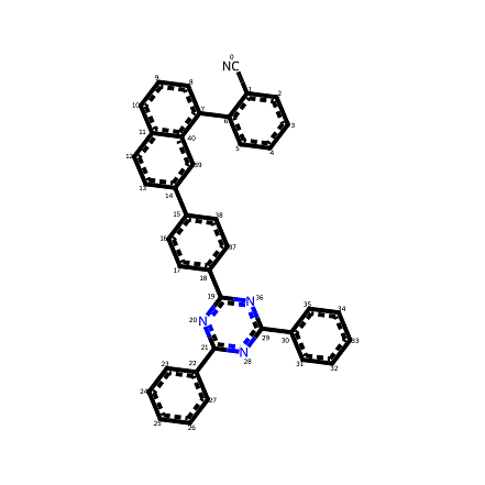 N#Cc1ccccc1-c1cccc2ccc(-c3ccc(-c4nc(-c5ccccc5)nc(-c5ccccc5)n4)cc3)cc12